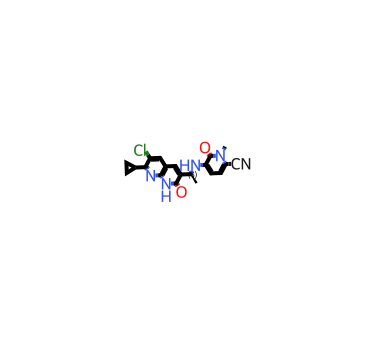 C[C@H](Nc1ccc(C#N)n(C)c1=O)c1cc2cc(Cl)c(C3CC3)nc2[nH]c1=O